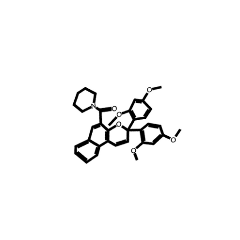 COc1ccc(C2(c3ccc(OC)cc3OC)C=Cc3c(c(C(=O)N4CCCCC4)cc4ccccc34)O2)c(OC)c1